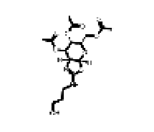 CC(=O)OC[C@H]1O[C@@H]2SC(NCCCO)=N[C@@H]2[C@@H](OC(C)=O)[C@@H]1OC(C)=O